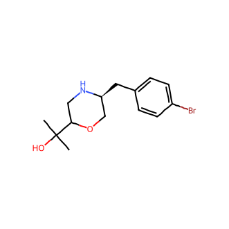 CC(C)(O)C1CN[C@@H](Cc2ccc(Br)cc2)CO1